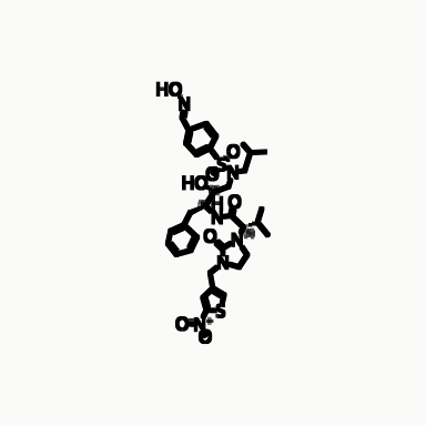 CC(C)CN(C[C@@H](O)[C@H](Cc1ccccc1)NC(=O)[C@H](C(C)C)N1CCN(Cc2csc([N+](=O)[O-])c2)C1=O)S(=O)(=O)c1ccc(C=NO)cc1